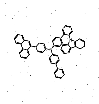 C1=Cc2c(c3ccccc3n2-c2ccccc2-c2ccc(N(C3=CCC(c4cc5ccccc5c5ccccc45)C=C3)c3ccc(-c4ccccc4)cc3)cc2)CC1